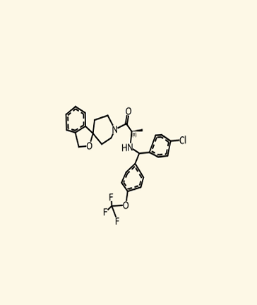 C[C@@H](NC(c1ccc(Cl)cc1)c1ccc(OC(F)(F)F)cc1)C(=O)N1CCC2(CC1)OCc1ccccc12